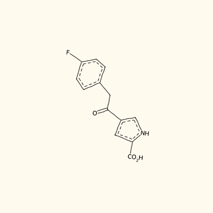 O=C(Cc1ccc(F)cc1)c1c[nH]c(C(=O)O)c1